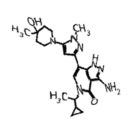 CC(C1CC1)n1cc(-c2cc(N3CCC(C)(O)CC3)n(C)n2)c2[nH]nc(N)c2c1=O